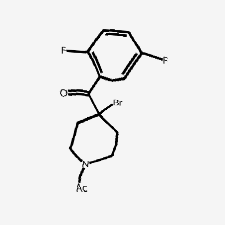 CC(=O)N1CCC(Br)(C(=O)c2cc(F)ccc2F)CC1